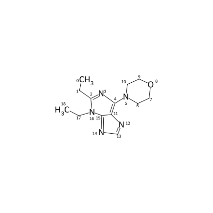 CCc1nc(N2CCOCC2)c2ncnc-2n1CC